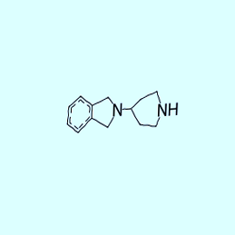 c1ccc2c(c1)CN(C1CCNCC1)C2